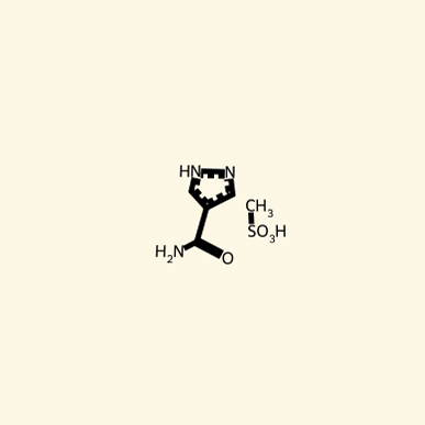 CS(=O)(=O)O.NC(=O)c1cn[nH]c1